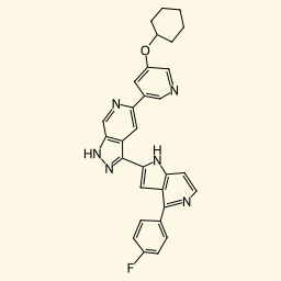 Fc1ccc(-c2nccc3[nH]c(-c4n[nH]c5cnc(-c6cncc(OC7CCCCC7)c6)cc45)cc23)cc1